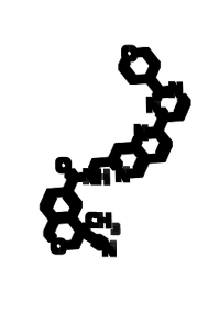 C[C@@]1(C#N)COCc2ccc(C(=O)NCc3cc4nc(-c5ccnc(C6CCOCC6)n5)ccc4cn3)cc21